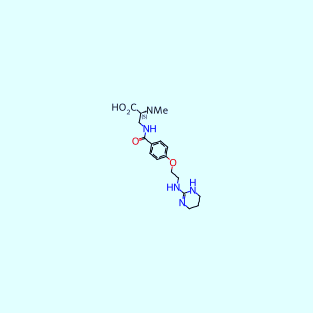 CN[C@@H](CNC(=O)c1ccc(OCCNC2=NCCCN2)cc1)C(=O)O